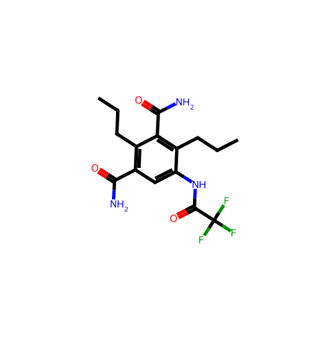 CCCc1c(NC(=O)C(F)(F)F)cc(C(N)=O)c(CCC)c1C(N)=O